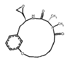 C[C@H]1C(=O)N[C@H](C2CO2)Cc2cccc(c2)OCCCCCC(=O)N1C